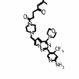 CC(C)=CC(=O)CCC(=O)N1CCN(Cc2cc3c(N4CCOCC4)nc(-c4cnc(N)cc4C(F)(F)F)nn3c2)CC1